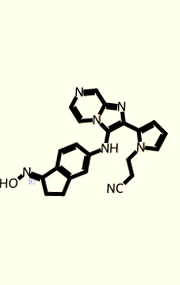 N#CCCn1cccc1-c1nc2cnccn2c1Nc1ccc2c(c1)CC/C2=N\O